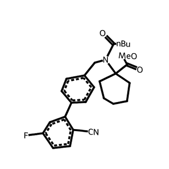 CCCCC(=O)N(Cc1ccc(-c2cc(F)ccc2C#N)cc1)C1(C(=O)OC)CCCCC1